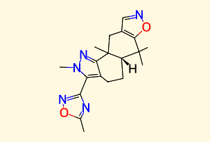 Cc1nc(-c2c3c(nn2C)C2(C)Cc4cnoc4C(C)(C)[C@@H]2CC3)no1